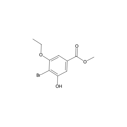 CCOc1cc(C(=O)OC)cc(O)c1Br